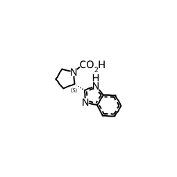 O=C(O)N1CCC[C@H]1c1nc2ccccc2[nH]1